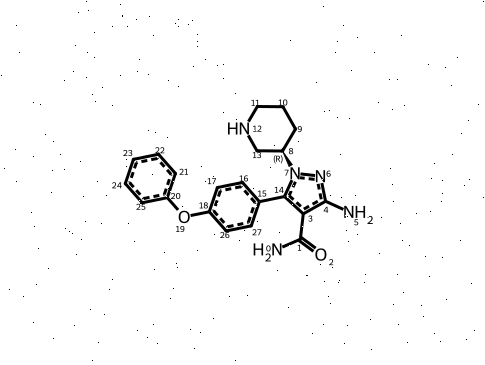 NC(=O)c1c(N)nn([C@@H]2CCCNC2)c1-c1ccc(Oc2ccccc2)cc1